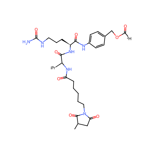 [2H]C(=O)OCc1ccc(NC(=O)[C@H](CCCNC(N)=O)NC(=O)C(NC(=O)CCCCCN2C(=O)CC(C)C2=O)C(C)C)cc1